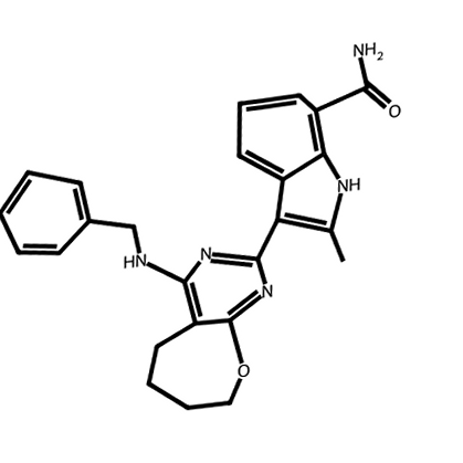 Cc1[nH]c2c(C(N)=O)cccc2c1-c1nc(NCc2ccccc2)c2c(n1)OCCCC2